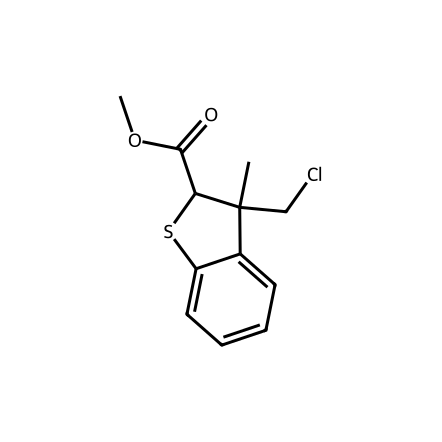 COC(=O)C1Sc2ccccc2C1(C)CCl